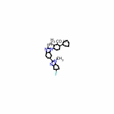 CCCc1nc2ccc(-c3nc4cc(F)ccc4n3C)cc2n1-c1ccc(-c2ccccc2)c(C(=O)O)c1C